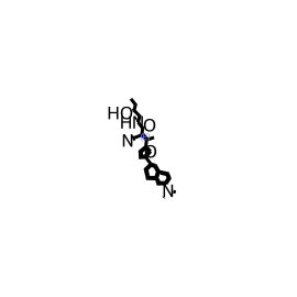 CCC(O)CNC(=O)/C(C#N)=C(\C)c1ccc(-c2ccc3cc(N(C)C)ccc3c2)o1